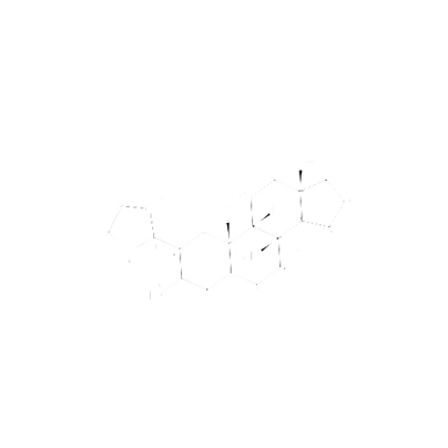 C[C@@]12CCC[C@@]1(O)[C@@H]1CCC3CC(O)C(C4OCCO4)C[C@]3(C)[C@@H]1CC2